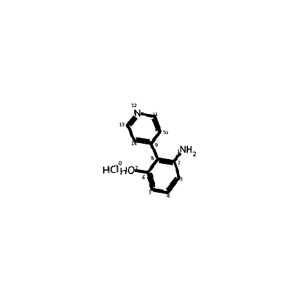 Cl.Nc1cccc(O)c1-c1ccncc1